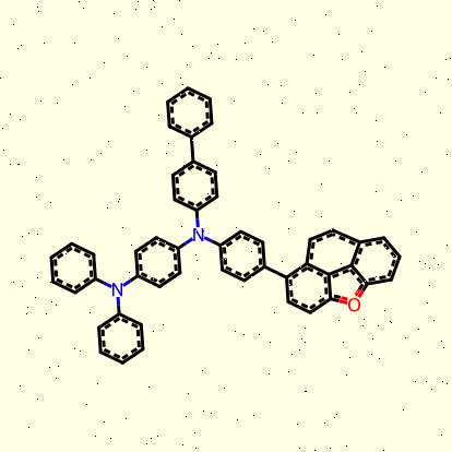 c1ccc(-c2ccc(N(c3ccc(-c4ccc5oc6cccc7ccc4c5c76)cc3)c3ccc(N(c4ccccc4)c4ccccc4)cc3)cc2)cc1